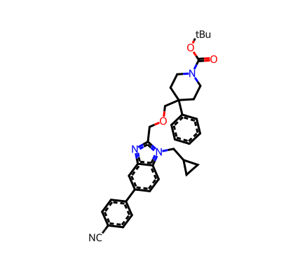 CC(C)(C)OC(=O)N1CCC(COCc2nc3cc(-c4ccc(C#N)cc4)ccc3n2CC2CC2)(c2ccccc2)CC1